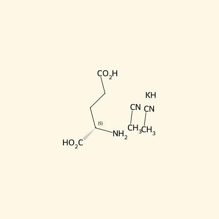 CC#N.CC#N.N[C@@H](CCC(=O)O)C(=O)O.[KH]